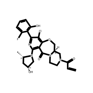 C=CC(=O)N1CCN2C(=O)c3c(N4C[C@H](O)C[C@@H]4C)nc(-c4c(O)cccc4F)c(Cl)c3OC[C@H]2C1